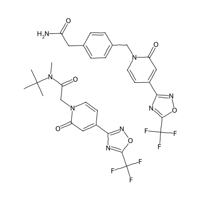 CN(C(=O)Cn1ccc(-c2noc(C(F)(F)F)n2)cc1=O)C(C)(C)C.NC(=O)Cc1ccc(Cn2ccc(-c3noc(C(F)(F)F)n3)cc2=O)cc1